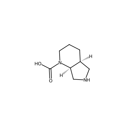 O=C(O)N1CCC[C@H]2CNC[C@H]21